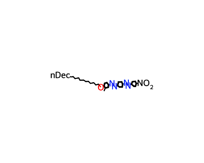 CCCCCCCCCCCCCCCCCCCCCCOc1ccc(/N=N/c2ccc(/N=N/c3ccc([N+](=O)[O-])cc3)cc2)cc1C